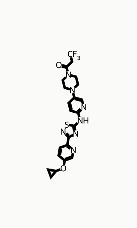 O=C(CC(F)(F)F)N1CCN(c2ccc(Nc3nc(-c4ccc(OC5CC5)cn4)ns3)nc2)CC1